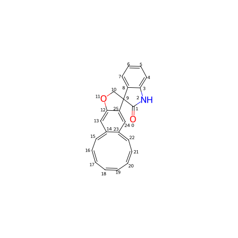 O=C1Nc2ccccc2C12COc1cc3ccccccccc3cc12